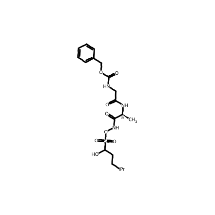 CC(C)CCC(O)S(=O)(=O)ONC(=O)[C@H](C)NC(=O)CNC(=O)OCc1ccccc1